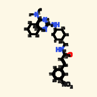 CN(C)c1nc(N[C@H]2CC[C@@H](CNC(=O)C=Cc3cccc([N+](=O)[O-])c3)CC2)nc2c1CCCC2